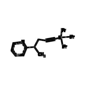 CC(CC#C[Si](C(C)C)(C(C)C)C(C)C)c1ccccn1